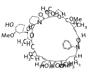 CO[C@H]1C[C@@H]2CC[C@@H](C)[C@@](O)(O2)C(=O)C(=O)N2CCCC[C@H]2C(=O)O[C@H]([C@H](C)C[C@@H]2CC[C@@H](O)[C@H](OC)C2)CC(=O)[C@H](C)/C=C(\C)[C@@H](O)[C@@H](OC)C(=O)[C@H](C)C[C@H](C)C2C=C[C@H](/C=C/1C)ON2c1ccccc1